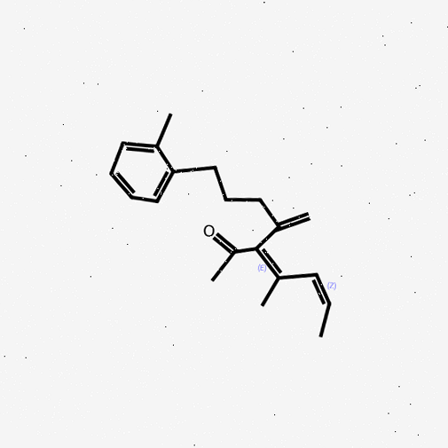 C=C(CCCc1ccccc1C)/C(C(C)=O)=C(C)\C=C/C